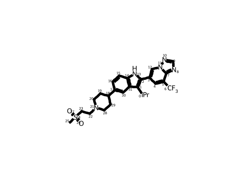 CC(C)c1c(-c2cc(C(F)(F)F)c3ncnn3c2)[nH]c2ccc(C3CCN(CCS(C)(=O)=O)CC3)cc12